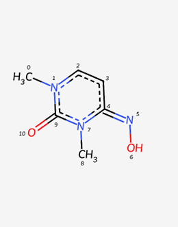 Cn1ccc(=NO)n(C)c1=O